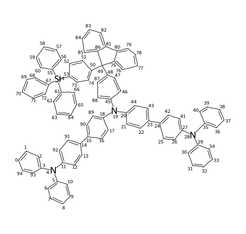 c1ccc(N(c2ccccc2)c2ccc(-c3ccc(N(c4ccc(-c5ccc(N(c6ccccc6)c6ccccc6)cc5)cc4)c4ccc(C5(c6ccc([Si](c7ccccc7)(c7ccccc7)c7ccccc7)cc6)c6ccccc6-c6ccccc65)cc4)cc3)cc2)cc1